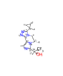 C[C@H]1Cn2c(nnc2C2(C)CC2)-c2cnc(C(C)(O)C(F)(F)F)n21